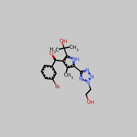 Cc1c(-c2nnn(CCO)n2)[nH]c(C(C)(C)O)c1C(=O)c1cccc(Br)c1